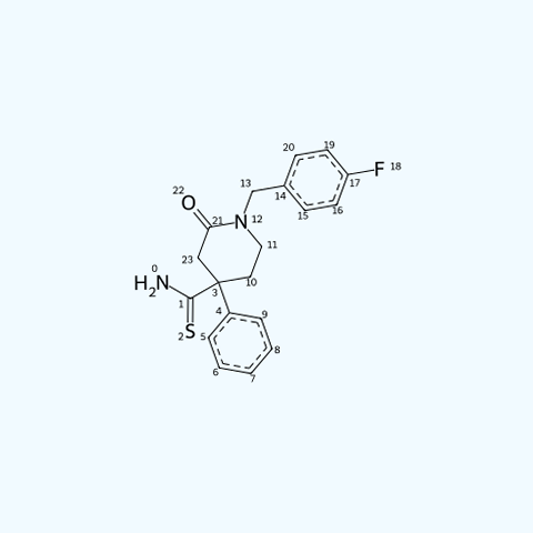 NC(=S)C1(c2ccccc2)CCN(Cc2ccc(F)cc2)C(=O)C1